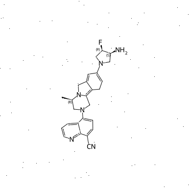 C[C@@H]1CN(c2ccc(C#N)c3ncccc23)CC2=C3CC=C(N4C[C@@H](F)[C@@H](N)C4)C=C3CN21